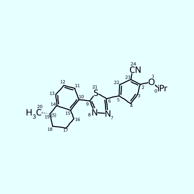 CC(C)Oc1ccc(-c2nnc(-c3cccc4c3CCC[C@@H]4C)s2)cc1C#N